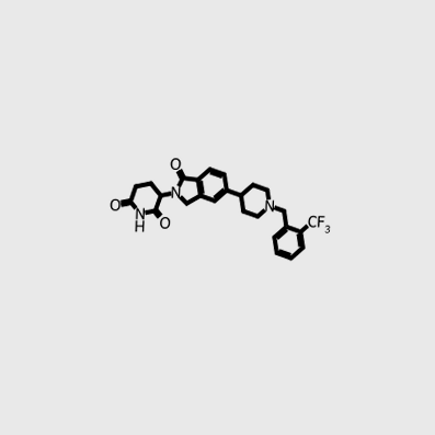 O=C1CCC(N2Cc3cc(C4CCN(Cc5ccccc5C(F)(F)F)CC4)ccc3C2=O)C(=O)N1